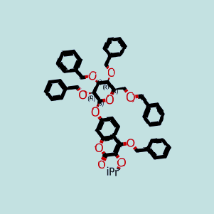 CC(C)Oc1c(OCc2ccccc2)c2ccc(O[C@@H]3O[C@H](COCc4ccccc4)[C@@H](OCc4ccccc4)[C@H](OCc4ccccc4)[C@H]3OCc3ccccc3)cc2oc1=O